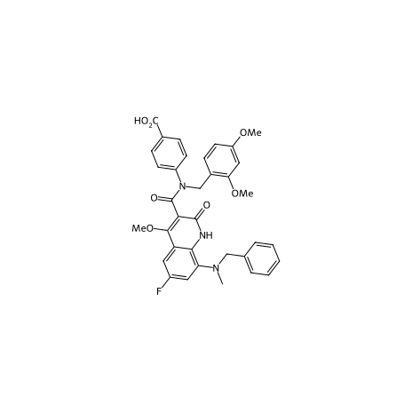 COc1ccc(CN(C(=O)c2c(OC)c3cc(F)cc(N(C)Cc4ccccc4)c3[nH]c2=O)c2ccc(C(=O)O)cc2)c(OC)c1